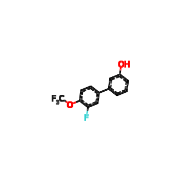 Oc1cccc(-c2ccc(OC(F)(F)F)c(F)c2)c1